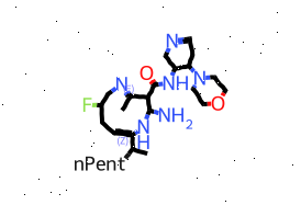 CCCCCC(C)/C1=C/CC(F)C/N=C(\C)C(C(=O)NC2CN=CCC2N2CCOCC2)C(N)N1